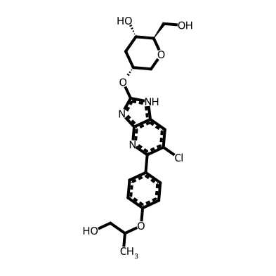 CC(CO)Oc1ccc(-c2nc3nc(O[C@H]4CO[C@H](CO)[C@@H](O)C4)[nH]c3cc2Cl)cc1